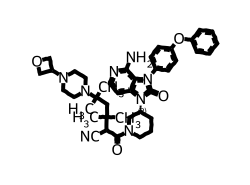 CC(C)(CC(C)(C)N1CCN(C2COC2)CC1)C(C#N)C(=O)N1CCC[C@@H](n2c(=O)n(-c3ccc(Oc4ccccc4)cc3)c3c(N)nccc32)C1